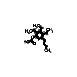 CCCCc1cc(OC(=O)O)c(CC)c(CC)c1CC